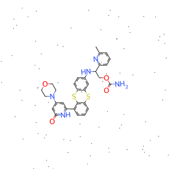 Cc1cccc(C(COC(N)=O)Nc2ccc3c(c2)Sc2cccc(-c4cc(N5CCOCC5)cc(=O)[nH]4)c2S3)n1